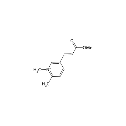 COC(=O)/C=C/c1ccc(C)[n+](C)c1